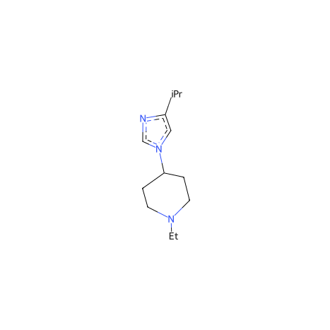 CCN1CCC(n2cnc(C(C)C)c2)CC1